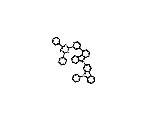 c1ccc(-c2nc(-c3ccccc3)nc(-c3cc(-c4cccc5c4c4ccccc4n5-c4ccc5c6ccccc6n(-c6ccccc6)c5c4)ccn3)n2)cc1